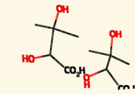 CC(C)(O)C(O)C(=O)O.CC(C)(O)C(O)C(=O)O